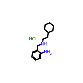 Cl.Nc1ccccc1CNCCC1CCCCC1